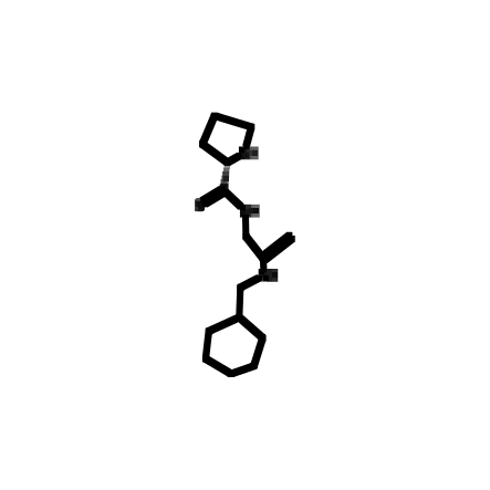 C=C(CNC(=S)[C@@H]1CCCN1)NCC1CCCCC1